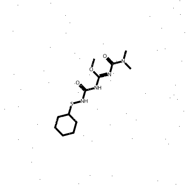 COC(=NC(=O)N(C)C)NC(=O)NSC1CCCCC1